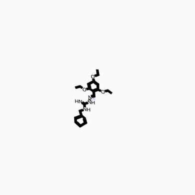 CCOc1cc(OCC)c(/C=N/NC(=N)NCc2ccccc2)c(OCC)c1